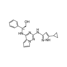 OC[C@@H](Nc1nc(Nc2cc(C3CC3)[nH]n2)nn2cccc12)c1ccccc1